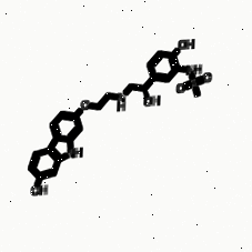 CS(=O)(=O)Nc1cc([C@@H](O)CNCCOc2ccc3c(c2)[nH]c2cc(O)ccc23)ccc1O